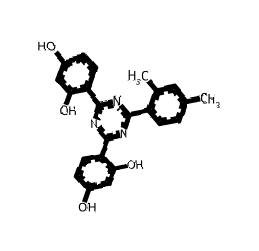 Cc1ccc(-c2nc(-c3ccc(O)cc3O)nc(-c3ccc(O)cc3O)n2)c(C)c1